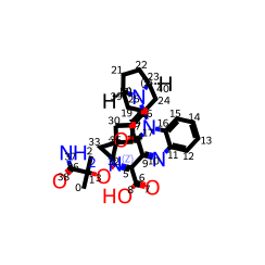 CC(C)(O/N=C(\C(=O)O)c1nc2ccccc2n([C@H]2C[C@H]3CC[C@@H](C2)N3C=C2C3CC2C32CC2)c1=O)C(N)=O